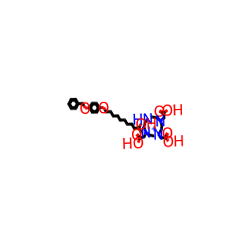 O=C(O)CN1CCNCC[N+](CC(=O)O)(CC(O)CCCCCCCCCOc2ccc(OCc3ccccc3)cc2)CCN(CC(=O)O)CC1